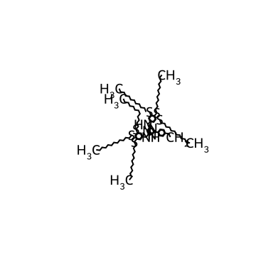 [CH2]Cc1ccc(-c2nc(Nc3cc(SCCCCCCCCCCCC)c(SCCCCCCCCCCCC)c(SCCCCCCCCCCCC)c3)nc(Nc3cc(SCCCCCCCCCCCC)c(SCCCCCCCCCCCC)c(SCCCCCCCCCCCC)c3)n2)cc1